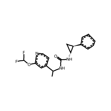 CC(NC(=O)N[C@@H]1C[C@H]1c1ccccc1)c1ccnc(OC(F)F)c1